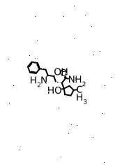 CC1CCC(O)([C@H](C[C@H](O)[C@@H](N)Cc2ccccc2)C(N)=O)C1